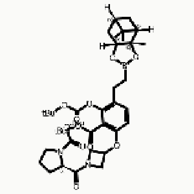 CC(C)(C)OC(=O)Oc1c(CCB2O[C@@H]3C[C@@H]4C[C@@H](C4(C)C)[C@]3(C)O2)ccc(OC2CN(C(=O)[C@H]3CCCN3C(=O)OC(C)(C)C)C2)c1C(=O)OC(C)(C)C